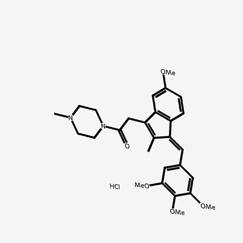 COc1ccc2c(c1)C(CC(=O)N1CCN(C)CC1)=C(C)C2=Cc1cc(OC)c(OC)c(OC)c1.Cl